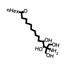 CCCCCCC(=O)CCCCCCCCCC(O)C(O)C(N)(CO)CO